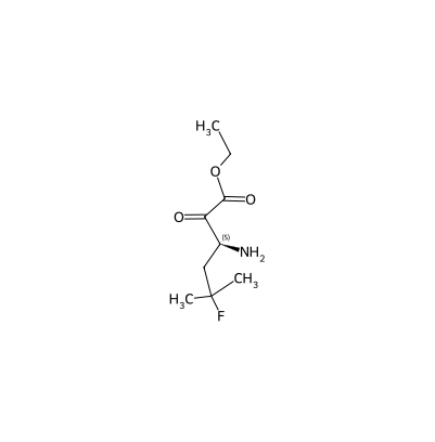 CCOC(=O)C(=O)[C@@H](N)CC(C)(C)F